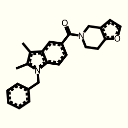 Cc1c(C)n(Cc2ccccc2)c2ccc(C(=O)N3CCc4occc4C3)cc12